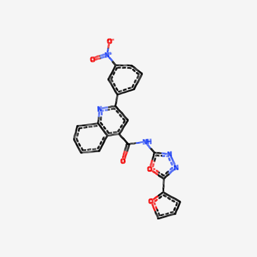 O=C(Nc1nnc(-c2ccco2)o1)c1cc(-c2cccc([N+](=O)[O-])c2)nc2ccccc12